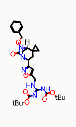 CC(C)(C)OC(=O)/N=C(\NCc1cc([C@@H]2CC3(CC3)[C@H]3CN2C(=O)N3OCc2ccccc2)no1)NC(=O)OC(C)(C)C